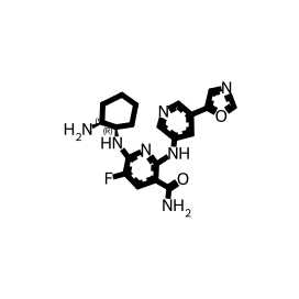 NC(=O)c1cc(F)c(N[C@@H]2CCCC[C@@H]2N)nc1Nc1cncc(-c2cnco2)c1